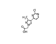 Cc1nn(CC(=O)O)cc1-c1ccnc(Cl)n1